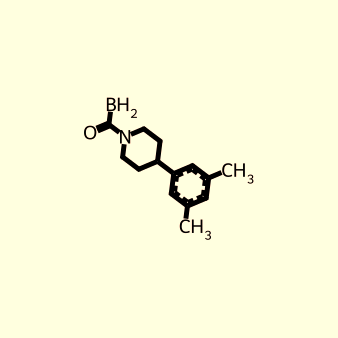 BC(=O)N1CCC(c2cc(C)cc(C)c2)CC1